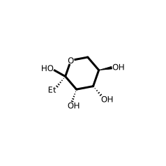 CC[C@]1(O)OC[C@@H](O)[C@H](O)[C@@H]1O